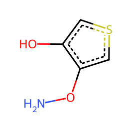 NOc1cscc1O